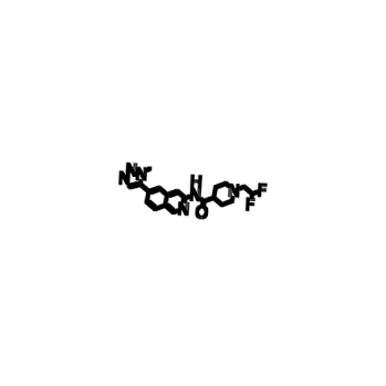 Cn1nncc1-c1ccc2cnc(NC(=O)C3CCN(CC(F)F)CC3)cc2c1